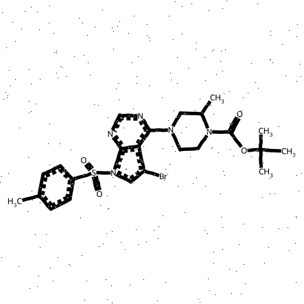 Cc1ccc(S(=O)(=O)n2cc(Br)c3c(N4CCN(C(=O)OC(C)(C)C)C(C)C4)ncnc32)cc1